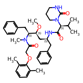 CO[C@@H](C[C@H](Cc1ccccc1)NC(=O)[C@H](C(C)C)N1CCCNC1=O)[C@H](Cc1ccccc1)N(C)C(=O)COc1c(C)cccc1C